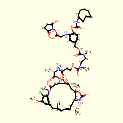 COc1cc2cc(c1Cl)N(C)C(=O)C[C@H](OC(=O)[C@H](C)N(C)C(=O)CCOC(=O)N(C)CCN(C)C(=O)OCc1ccc(OC(=O)NC3C/C=C/CCCC3)c(NCC(=O)ON3C(=O)CCC3=O)c1)[C@]1(C)O[C@H]1[C@H](C)[C@@H]1C[C@@](O)(NC(=O)O1)[C@H](OC)/C=C/C=C(\C)C2